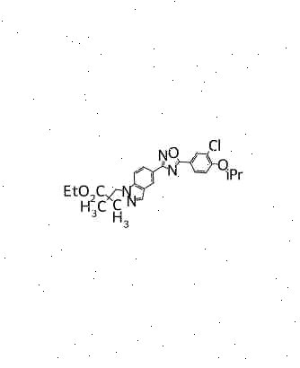 CCOC(=O)C(C)(C)Cn1ncc2cc(-c3noc(-c4ccc(OC(C)C)c(Cl)c4)n3)ccc21